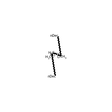 CCCCCCCCCCCCCCCCCCCCCCCCCC(C)C(=O)OCCC(C)OC(=O)C(C)CCCCCCCCCCCCCCCCCCCCCCCCC